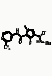 CC[C@@H](C)N[S+]([O-])c1cn(C)c(C(=O)Nc2ccnc(C(F)(F)F)c2)c1F